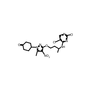 Cc1c([N+](=O)[O-])c(OCCC(C)Nc2nc(Cl)ncc2Cl)nn1C1CCC(=O)CC1